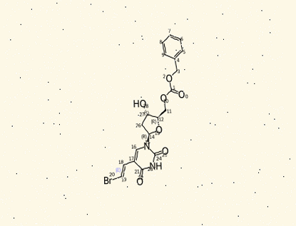 O=C(OCc1ccccc1)OC[C@H]1O[C@@H](n2cc(/C=C/Br)c(=O)[nH]c2=O)C[C@@H]1O